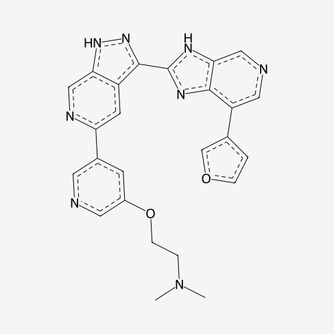 CN(C)CCOc1cncc(-c2cc3c(-c4nc5c(-c6ccoc6)cncc5[nH]4)n[nH]c3cn2)c1